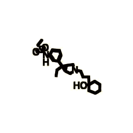 CCC1(c2cccc(NS(=O)(=O)CC)c2)C2CN(CCCC3(O)CCCCC3)CC21